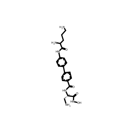 NCCCC(N)C(=O)Nc1ccc(-c2ccc(C(=O)N[C@@H](CN)C(=O)NO)cc2)cc1